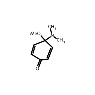 COC1(N(C)C)C=CC(=O)C=C1